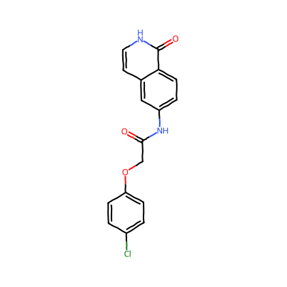 O=C(COc1ccc(Cl)cc1)Nc1ccc2c(=O)[nH]ccc2c1